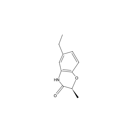 CCc1ccc2c(c1)NC(=O)[C@H](C)O2